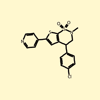 CN1CC(c2ccc(Cl)cc2)c2cc(-c3ccncc3)sc2S1(=O)=O